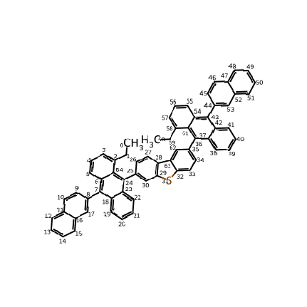 CCc1cccc2c(-c3ccc4ccccc4c3)c3ccccc3c(-c3ccc4c(c3)sc3ccc(-c5c6ccccc6c(-c6ccc7ccccc7c6)c6cccc(CC)c56)cc34)c12